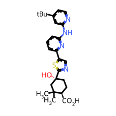 CC(C)(C)c1ccnc(Nc2cccc(-c3cnc([C@@]4(O)CC[C@@H](C(=O)O)C(C)(C)C4)s3)n2)c1